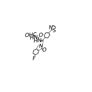 O=CNC(=O)N[C@@H](CN1Cc2ccc(F)cc2C1=O)c1ccc(-c2nccs2)cc1